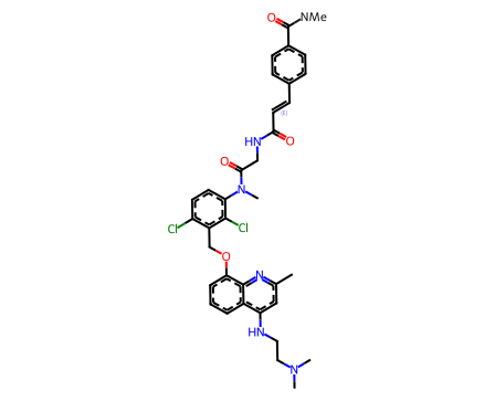 CNC(=O)c1ccc(/C=C/C(=O)NCC(=O)N(C)c2ccc(Cl)c(COc3cccc4c(NCCN(C)C)cc(C)nc34)c2Cl)cc1